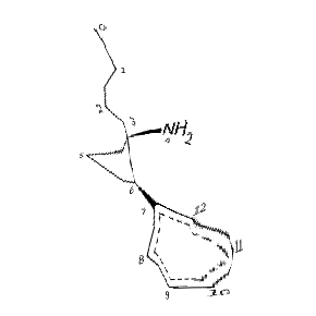 CCC[C@@]1(N)C[C@@H]1c1ccccc1